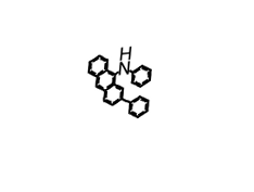 c1ccc(Nc2c3ccccc3cc3ccc(-c4ccccc4)cc23)cc1